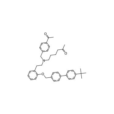 CC(=O)CCCCN(CCc1ccccc1OCc1ccc(-c2ccc(C(C)(C)C)cc2)cc1)Cc1ccc(C(C)=O)cc1